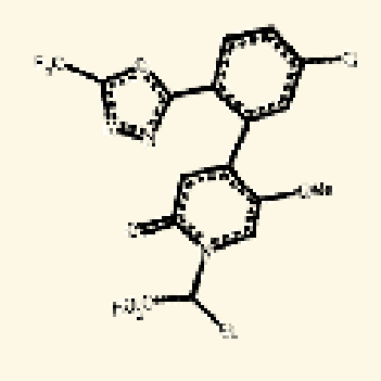 CCC(C(=O)O)n1cc(OC)c(-c2cc(Cl)ccc2-c2nnc(C(F)(F)F)o2)cc1=O